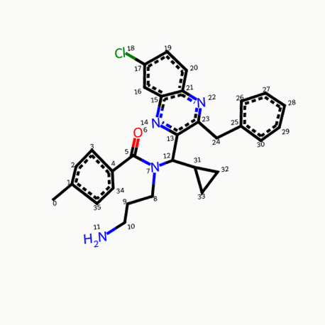 Cc1ccc(C(=O)N(CCCN)C(c2nc3cc(Cl)ccc3nc2Cc2ccccc2)C2CC2)cc1